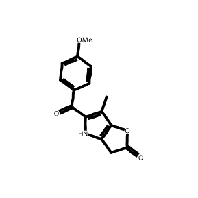 COc1ccc(C(=O)c2[nH]c3c(c2C)OC(=O)C3)cc1